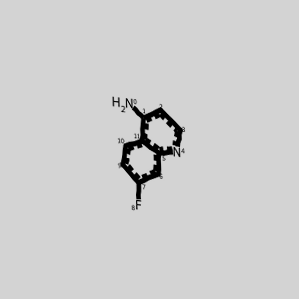 Nc1ccnc2cc(F)ccc12